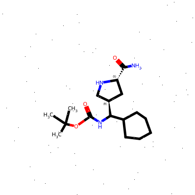 CC(C)(C)OC(=O)NC(C1CCCCC1)[C@H]1CN[C@H](C(N)=O)C1